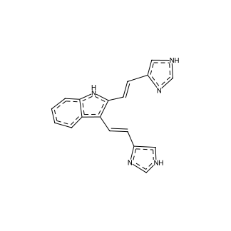 C(=C\c1[nH]c2ccccc2c1/C=C/c1c[nH]cn1)/c1c[nH]cn1